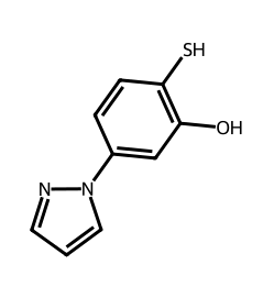 Oc1cc(-n2cccn2)ccc1S